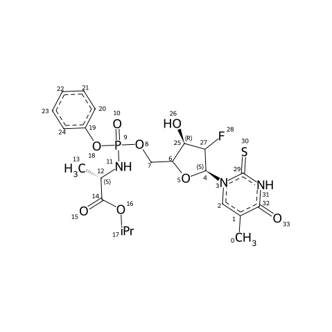 Cc1cn([C@H]2OC(COP(=O)(N[C@@H](C)C(=O)OC(C)C)Oc3ccccc3)[C@@H](O)C2F)c(=S)[nH]c1=O